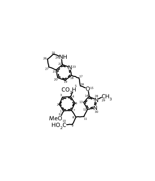 COc1ccc(C(=O)O)cc1C(CC(=O)O)Cc1cc(OCCc2ccc3c(n2)NCCC3)n(C)n1